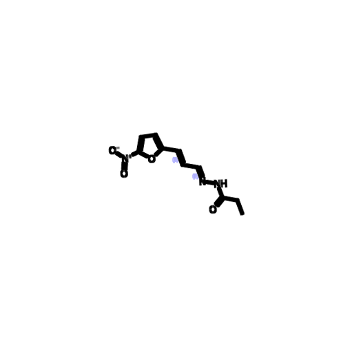 CCC(=O)N/N=C/C=C/c1ccc([N+](=O)[O-])o1